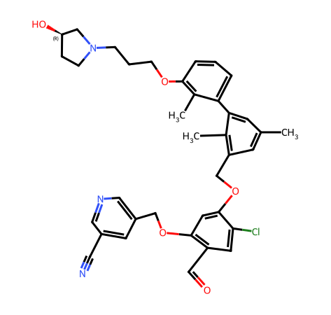 Cc1cc(COc2cc(OCc3cncc(C#N)c3)c(C=O)cc2Cl)c(C)c(-c2cccc(OCCCN3CC[C@@H](O)C3)c2C)c1